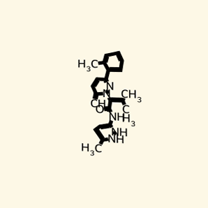 C=C1C=CC(c2ccccc2C)=NN1C(C(=O)NC1=CC=C(C)NN1)=C(C)C